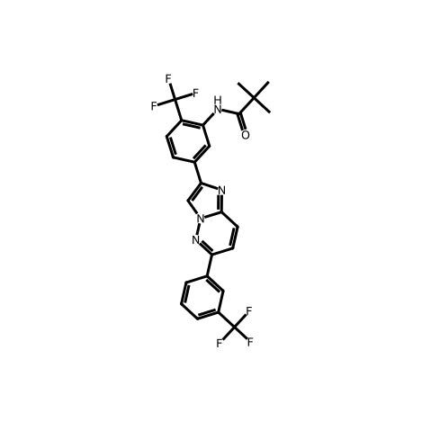 CC(C)(C)C(=O)Nc1cc(-c2cn3nc(-c4cccc(C(F)(F)F)c4)ccc3n2)ccc1C(F)(F)F